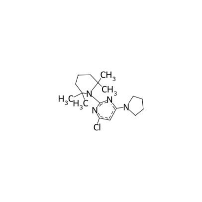 CC1(C)CCCC(C)(C)N1c1nc(Cl)cc(N2CCCC2)n1